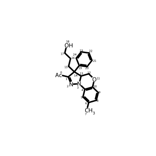 CC(=O)C1=NN2c3cc(C)ccc3OCC2C1(CCCO)c1ccccc1